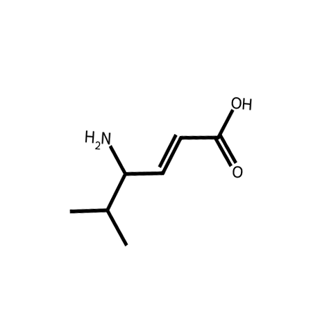 CC(C)C(N)C=CC(=O)O